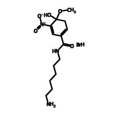 Br.COC1(O)CC=C(C(=O)NCCCCCCN)C=C1[N+](=O)[O-]